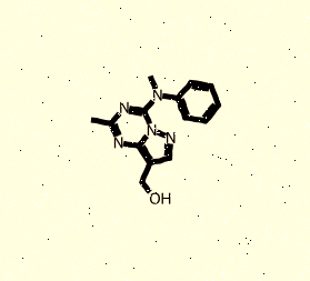 Cc1nc(N(C)c2ccccc2)n2ncc(CO)c2n1